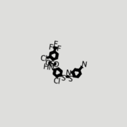 N#Cc1ccc2sc(Sc3ccc(NS(=O)(=O)c4ccc(C(F)(F)F)cc4Cl)cc3Cl)nc2c1